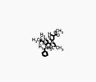 COC(=O)C1CNCC(N(CC(C)C)C(=O)c2cnc(C(C)(C)C)nc2NCc2ccccc2)C1